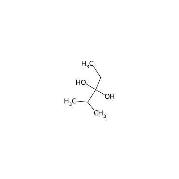 CCC(O)(O)C(C)C